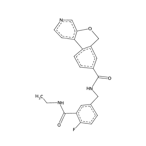 CCNC(=O)c1cc(CNC(=O)c2ccc3c(c2)COc2cnccc2-3)ccc1F